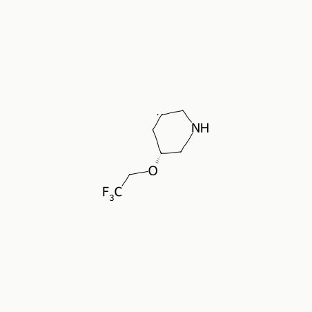 FC(F)(F)CO[C@@H]1C[CH]CNC1